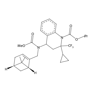 COC(=O)N(CC1=CC[C@H]2C[C@@H]1C2(C)C)C1CC(C2CC2)(C(F)(F)F)N(C(=O)OC(C)C)c2ccccc21